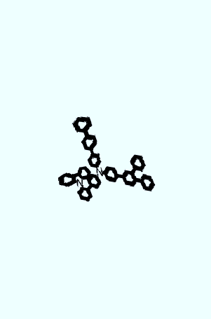 c1ccc(-c2ccc(-c3ccc(N(c4ccc(-c5ccc(-c6ccccc6)c(-c6ccccc6)c5)cc4)c4ccc(-c5ccccc5-n5c6ccccc6c6ccccc65)cc4)cc3)cc2)cc1